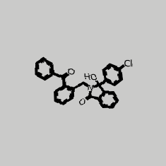 O=C(c1ccccc1)c1ccccc1CN1C(=O)c2ccccc2C1(O)c1ccc(Cl)cc1